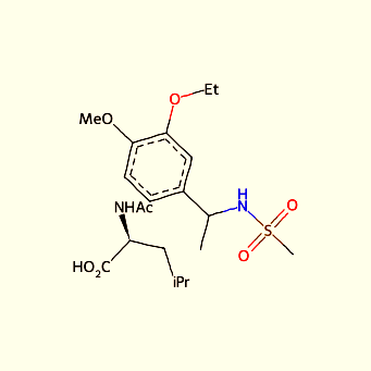 CC(=O)N[C@@H](CC(C)C)C(=O)O.CCOc1cc(C(C)NS(C)(=O)=O)ccc1OC